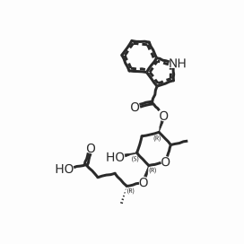 CC1O[C@@H](O[C@H](C)CCC(=O)O)[C@@H](O)C[C@H]1OC(=O)c1c[nH]c2ccccc12